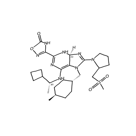 C[C@@H](NC1=C2[C@H](N=C(N3CCCC3CS(C)(=O)=O)N2C[C@H]2CC[C@H](C)CC2)NC(c2noc(=O)[nH]2)=N1)C1CCC1